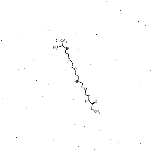 CSC(=O)NCCOCCNCCOCCOCCNC(C)C